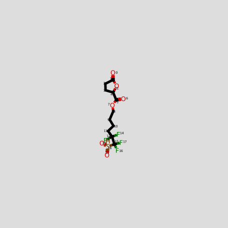 O=C1CCC(C(=O)OCCCCC(F)(F)C(F)(F)[SH](=O)=O)O1